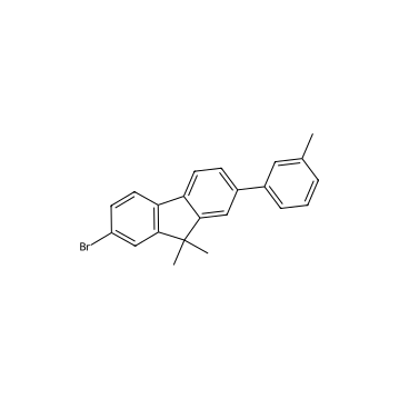 Cc1cccc(-c2ccc3c(c2)C(C)(C)c2cc(Br)ccc2-3)c1